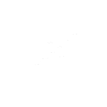 [CH2]CCCOc1cccc2c(OCCCC)cccc12